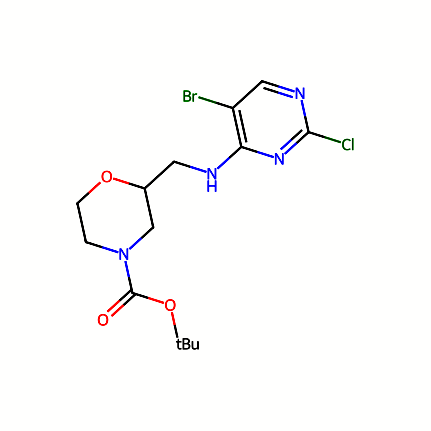 CC(C)(C)OC(=O)N1CCOC(CNc2nc(Cl)ncc2Br)C1